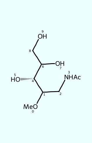 COC(CNC(C)=O)[C@H](O)C(O)CO